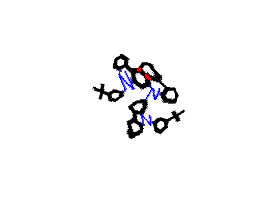 CC(C)(C)c1cccc(-n2c3ccccc3c3ccc(N(c4ccc5c6ccccc6n(-c6cccc(C(C)(C)C)c6)c5c4)c4ccccc4-c4ccccc4)cc32)c1